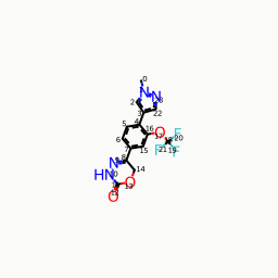 Cn1cc(-c2ccc(C3=NNC(=O)OC3)cc2OC(F)(F)F)cn1